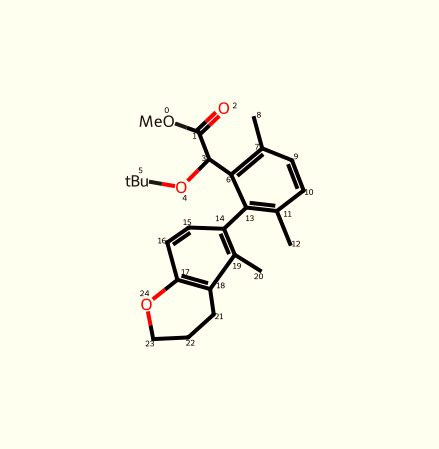 COC(=O)C(OC(C)(C)C)c1c(C)ccc(C)c1-c1ccc2c(c1C)CCCO2